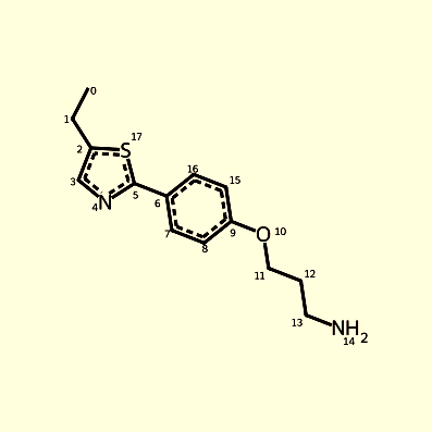 CCc1cnc(-c2ccc(OCCCN)cc2)s1